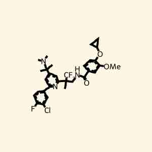 COc1cc(C(=O)NCC(C)(c2cc(C(C)(C)N(C)C)cc(-c3ccc(F)c(Cl)c3)n2)C(F)(F)F)ccc1OC1CC1